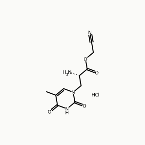 Cc1cn(C[C@H](N)C(=O)OCC#N)c(=O)[nH]c1=O.Cl